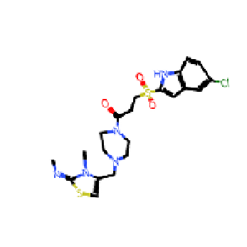 CN=c1scc(CN2CCN(C(=O)CCS(=O)(=O)c3cc4cc(Cl)ccc4[nH]3)CC2)n1C